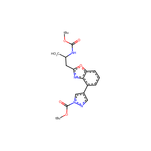 CC(C)(C)OC(=O)NC(Cc1nc2c(-c3cnn(C(=O)OC(C)(C)C)c3)cccc2o1)C(=O)O